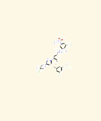 Cc1sc(C(=O)Nc2cc(Cl)cc(NS(C)(=O)=O)c2)cc1-c1ncc(N2CC(F)(F)C2)cc1OCc1cc(F)cc(C(F)(F)F)c1